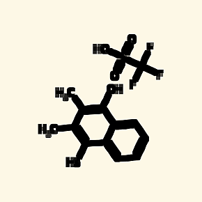 Cc1c(C)c(S)c2ccccc2c1O.O=S(=O)(O)C(F)(F)F